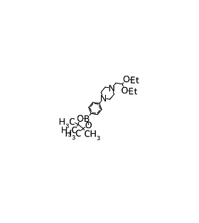 CCOC(CN1CCN(c2ccc(B3OC(C)(C)C(C)(C)O3)cc2)CC1)OCC